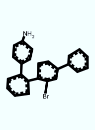 Nc1ccc(-c2ccccc2-c2ccc(-c3ccccc3)cc2Br)cc1